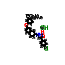 COc1ccc(Oc2ccc3c(c2)C[C@@H](NC[C@H](O)c2ccc(Cl)cc2)CC3)cc1C(=O)O.Cl